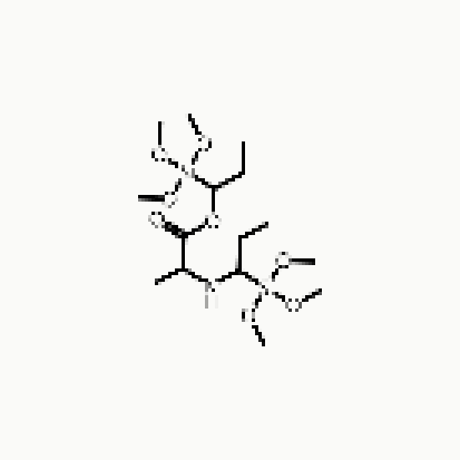 CCC(NC(C)C(=O)OC(CC)[Si](OC)(OC)OC)[Si](OC)(OC)OC